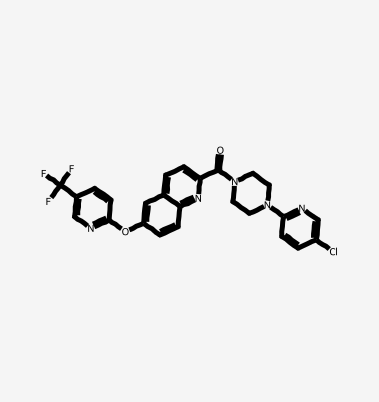 O=C(c1ccc2cc(Oc3ccc(C(F)(F)F)cn3)ccc2n1)N1CCN(c2ccc(Cl)cn2)CC1